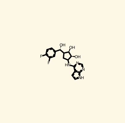 O[C@@H]1C([C@@H](O)c2ccc(F)c(F)c2)CC(Nc2ncnc3[nH]ccc23)[C@@H]1O